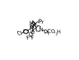 CC(C)c1ccnn1C1(C(=O)Nc2ccc(Cl)cc2OC(F)F)CCN(C2CC(C)(C(=O)O)C2)CC1